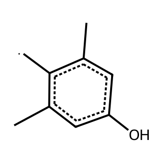 [CH2]c1c(C)cc(O)cc1C